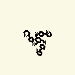 C(=N/c1ccc(-c2ccccn2)cc1)/C1CC(/C=N\c2ccc(-c3ccccn3)cc2)CC(/C=N\c2ccc(-c3ccccn3)cc2)C1